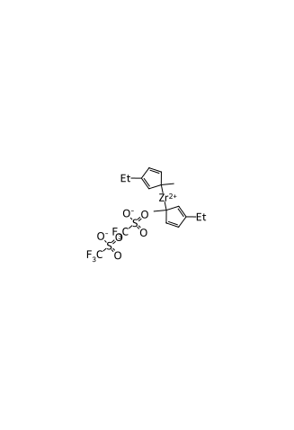 CCC1=C[C](C)([Zr+2][C]2(C)C=CC(CC)=C2)C=C1.O=S(=O)([O-])C(F)(F)F.O=S(=O)([O-])C(F)(F)F